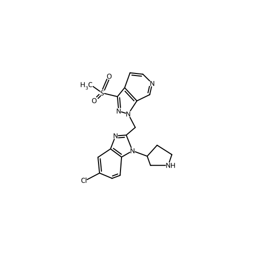 CS(=O)(=O)c1nn(Cc2nc3cc(Cl)ccc3n2C2CCNC2)c2cnccc12